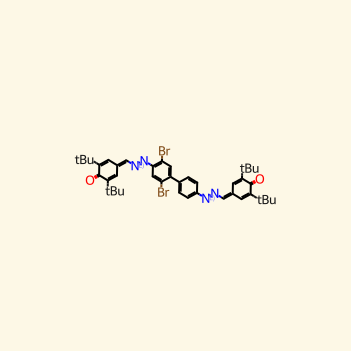 CC(C)(C)C1=CC(=C/N=N/c2ccc(-c3cc(Br)c(/N=N/C=C4C=C(C(C)(C)C)C(=O)C(C(C)(C)C)=C4)cc3Br)cc2)C=C(C(C)(C)C)C1=O